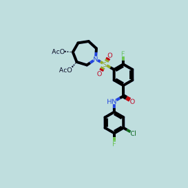 CC(=O)O[C@H]1CN(S(=O)(=O)c2cc(C(=O)Nc3ccc(F)c(Cl)c3)ccc2F)CCC[C@H]1OC(C)=O